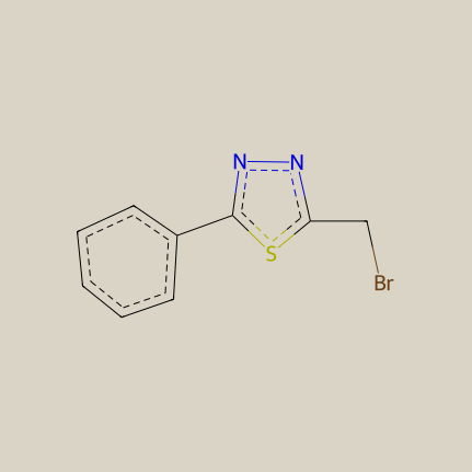 BrCc1nnc(-c2ccccc2)s1